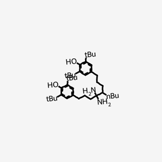 CCCCC(CCCc1cc(C(C)(C)C)c(O)c(C(C)(C)C)c1)C(N)(N)CCCc1cc(C(C)(C)C)c(O)c(C(C)(C)C)c1